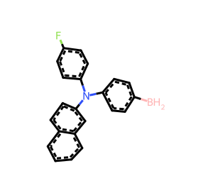 Bc1ccc(N(c2ccc(F)cc2)c2ccc3ccccc3c2)cc1